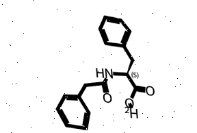 [2H]OC(=O)[C@H](Cc1ccccc1)NC(=O)Cc1ccccc1